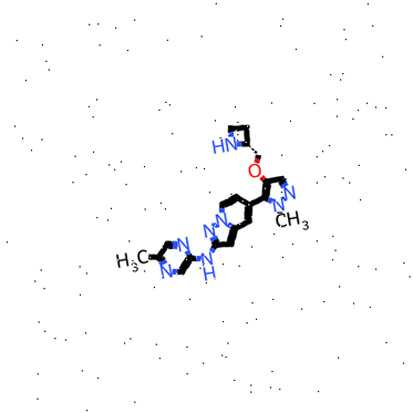 Cc1cnc(Nc2cc3cc(-c4c(OC[C@H]5CCN5)cnn4C)ccn3n2)cn1